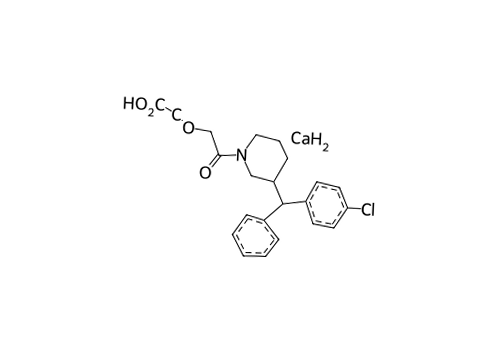 O=C(O)COCC(=O)N1CCCC(C(c2ccccc2)c2ccc(Cl)cc2)C1.[CaH2]